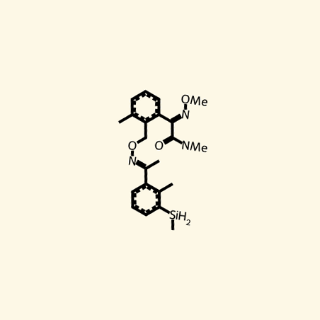 CNC(=O)/C(=N/OC)c1cccc(C)c1CO/N=C(\C)c1cccc([SiH2]C)c1C